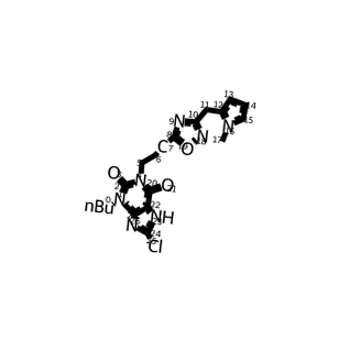 CCCCn1c(=O)n(CCCc2nc(Cc3cccn3C)no2)c(=O)c2[nH]c(Cl)nc21